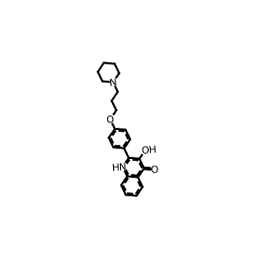 O=c1c(O)c(-c2ccc(OCCCN3CCCCC3)cc2)[nH]c2ccccc12